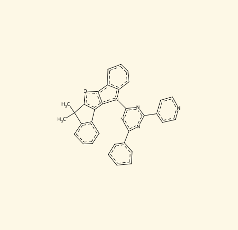 CC1(C)c2ccccc2-c2c1oc1c3ccccc3n(-c3nc(-c4ccccc4)nc(-c4ccncc4)n3)c21